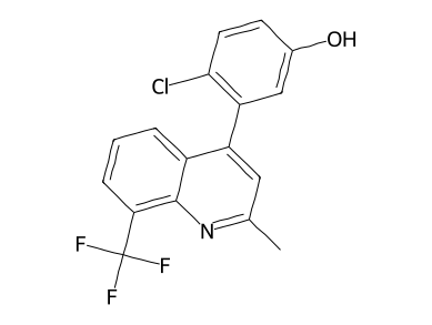 Cc1cc(-c2cc(O)ccc2Cl)c2cccc(C(F)(F)F)c2n1